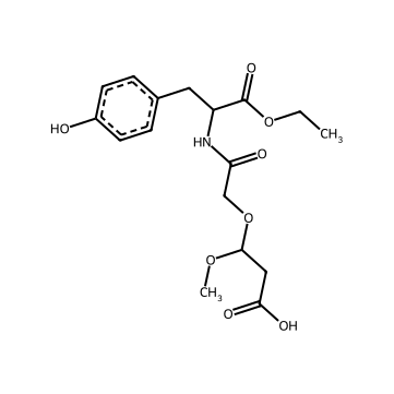 CCOC(=O)C(Cc1ccc(O)cc1)NC(=O)COC(CC(=O)O)OC